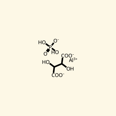 O=C([O-])C(O)C(O)C(=O)[O-].O=P([O-])(O)O.[Al+3]